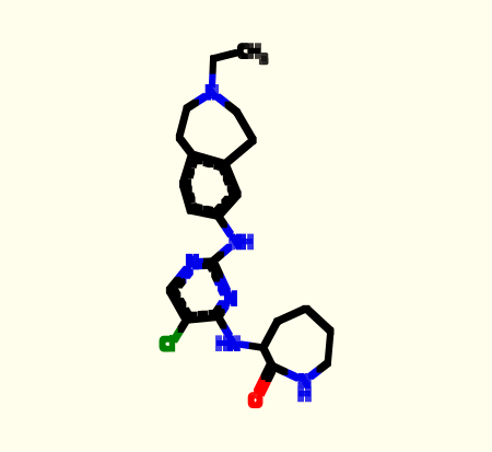 CCN1CCc2ccc(Nc3ncc(Cl)c(NC4CCCCNC4=O)n3)cc2CC1